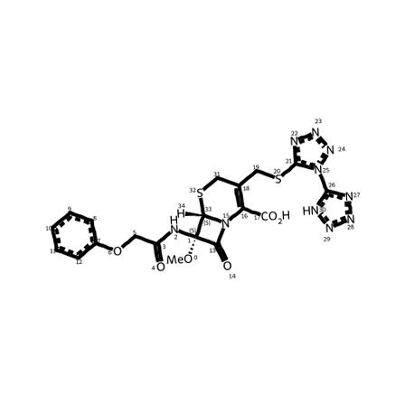 CO[C@@]1(NC(=O)COc2ccccc2)C(=O)N2C(C(=O)O)=C(CSc3nnnn3-c3nnn[nH]3)CS[C@H]21